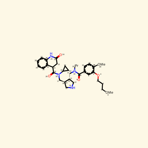 COCCCOc1cc(C(=O)N(C[C@@H]2CNC[C@H]2CN(C(=O)C2CC(=O)Nc3ccccc32)C2CC2)C(C)C)ccc1OC